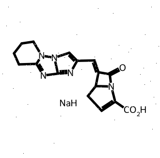 O=C(O)C1=CCC2/C(=C\c3cn4c(n3)nc3n4CCCC3)C(=O)N12.[NaH]